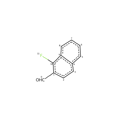 O=Cc1ccc2ccccc2c1F